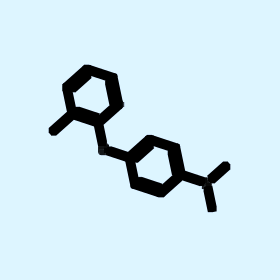 Cc1ccc[c]c1Oc1ccc(N(C)C)cc1